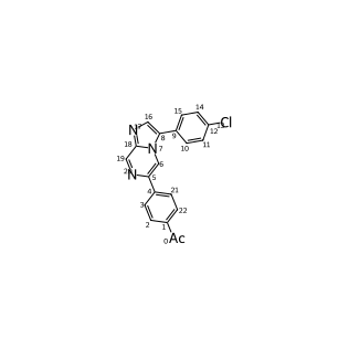 CC(=O)c1ccc(-c2cn3c(-c4ccc(Cl)cc4)cnc3cn2)cc1